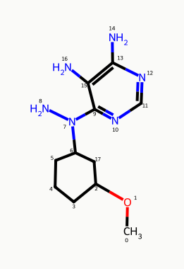 COC1CCCC(N(N)c2ncnc(N)c2N)C1